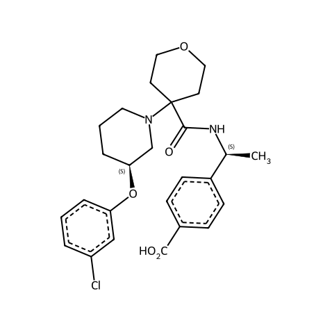 C[C@H](NC(=O)C1(N2CCC[C@H](Oc3cccc(Cl)c3)C2)CCOCC1)c1ccc(C(=O)O)cc1